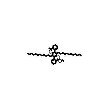 CCCCCCCCCCCCc1cc(-c2ccccc2C(=O)OCC)c(CCCCCCCCCCCC)cc1-c1ccccc1C(C)=O